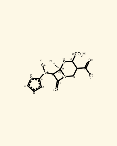 CCC(=O)C1CN2C(=O)C(N(C(C)=O)c3cccs3)[C@H]2SC1C(=O)O